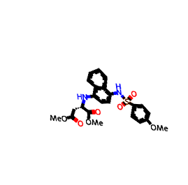 COC(=O)C[C@H](Nc1ccc(NS(=O)(=O)c2ccc(OC)cc2)c2ccccc12)C(=O)OC